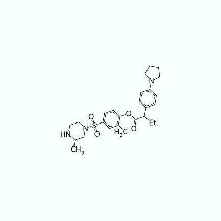 CCC(C(=O)Oc1ccc(S(=O)(=O)N2CCNC(C)C2)cc1C)c1ccc(N2CCCC2)cc1